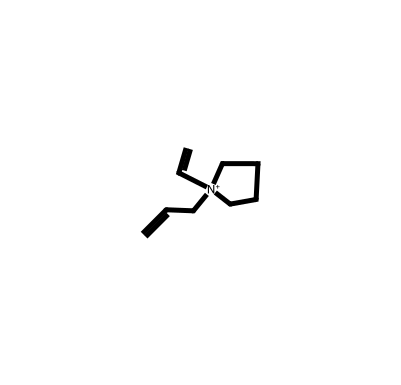 C=CC[N+]1(C=C)CCCC1